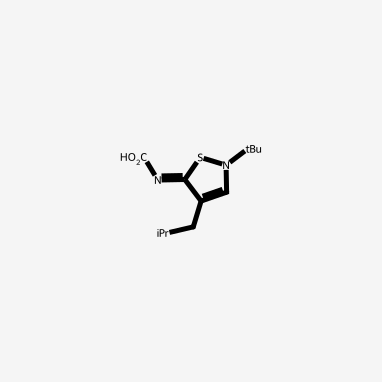 CC(C)Cc1cn(C(C)(C)C)sc1=NC(=O)O